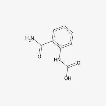 NC(=O)c1ccccc1NC(=O)O